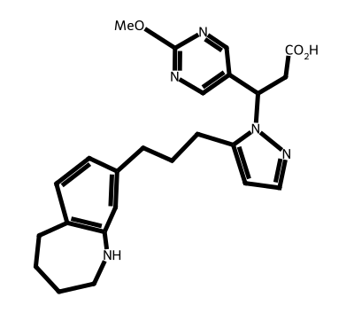 COc1ncc(C(CC(=O)O)n2nccc2CCCc2ccc3c(c2)NCCCC3)cn1